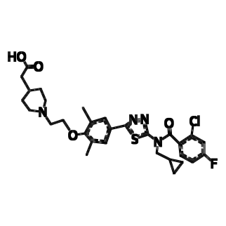 Cc1cc(-c2nnc(N(CC3CC3)C(=O)c3ccc(F)cc3Cl)s2)cc(C)c1OCCN1CCC(CC(=O)O)CC1